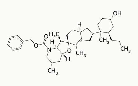 CCC[C@@H]1C[C@@H](O)CC[C@]1(C)[C@H]1CC2=C(C)[C@]3(CC[C@H]2C1)O[C@@H]1C[C@H](C)CN(C(=O)OCc2ccccc2)[C@H]1[C@H]3C